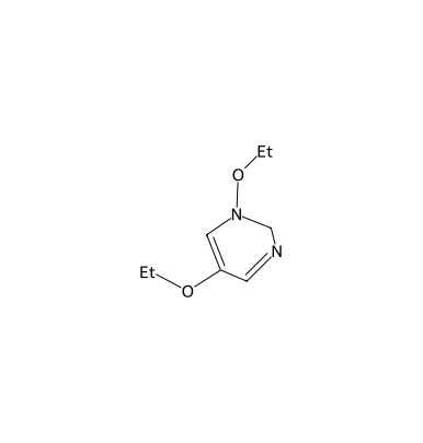 CCOC1=CN(OCC)CN=C1